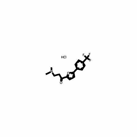 CN(C)CCC(=O)c1ccc(-c2ccc(C(F)(F)F)cc2)o1.Cl